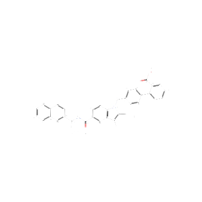 Cc1c(C)n(Cc2ccc(-c3ccccc3C(=O)O)cc2)c2ccc(C(=O)NC(C)c3ccc4ccccc4c3)cc12